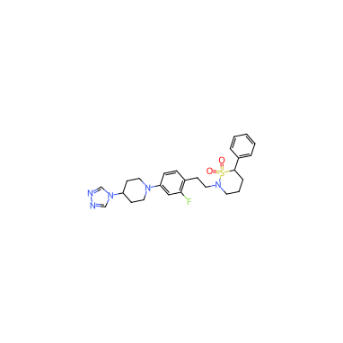 O=S1(=O)C(c2ccccc2)CCCN1CCc1ccc(N2CCC(n3cnnc3)CC2)cc1F